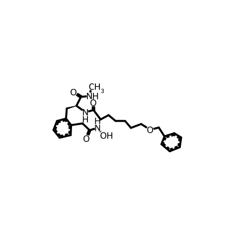 CNC(=O)[C@H](Cc1ccccc1CC(=O)NO)NC(=O)CCCCCCOCc1ccccc1